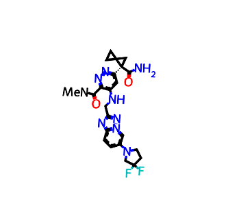 CNC(=O)c1nnc([C@@]2(C(N)=O)CC23CC3)cc1NCc1nc2ccc(N3CCC(F)(F)C3)cn2n1